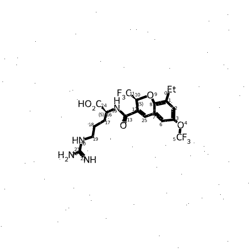 CCc1cc(OC(F)(F)F)cc2c1O[C@H](C(F)(F)F)C(C(=O)N[C@@H](CCCNC(=N)N)C(=O)O)=C2